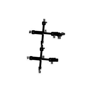 COP(=O)([O-])F.COP(=O)([O-])F.[Ca+2]